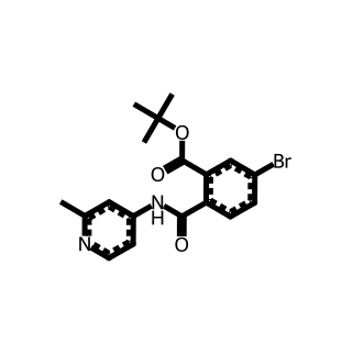 Cc1cc(NC(=O)c2ccc(Br)cc2C(=O)OC(C)(C)C)ccn1